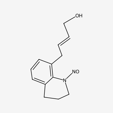 O=NN1CCCc2cccc(C/C=C/CO)c21